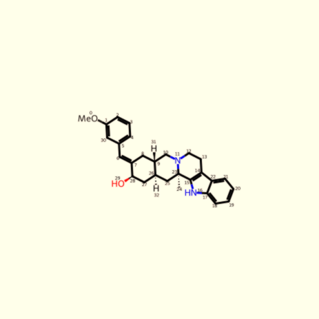 COc1cccc(/C=C2\C[C@@H]3CN4CCc5c([nH]c6ccccc56)[C@@]4(C)C[C@H]3C[C@H]2O)c1